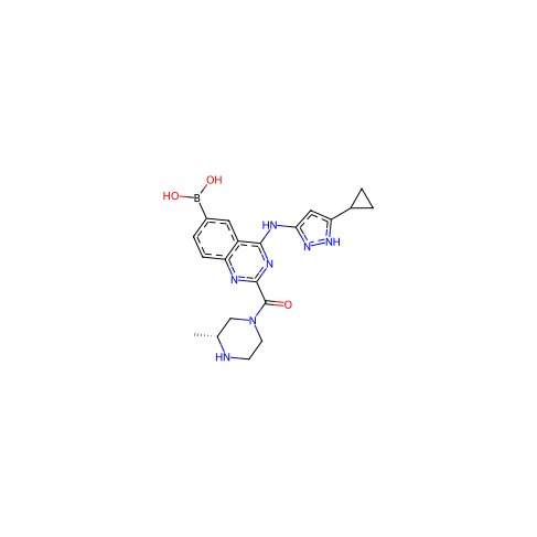 C[C@@H]1CN(C(=O)c2nc(Nc3cc(C4CC4)[nH]n3)c3cc(B(O)O)ccc3n2)CCN1